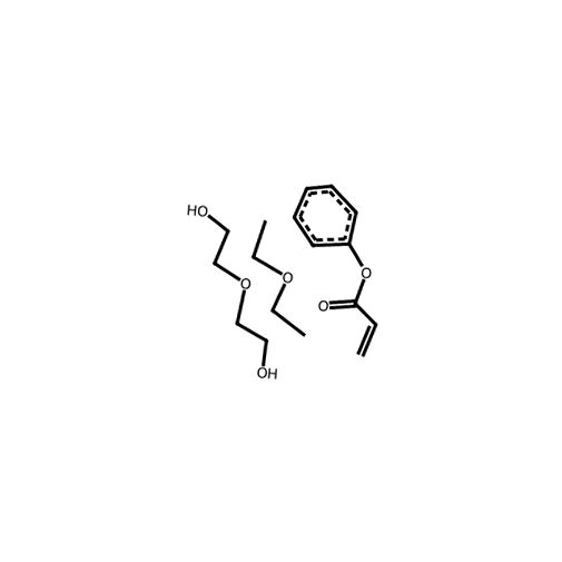 C=CC(=O)Oc1ccccc1.CCOCC.OCCOCCO